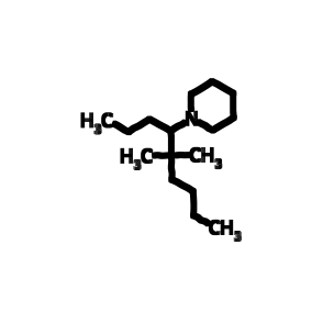 CCCCC(C)(C)C(CCC)N1CCCCC1